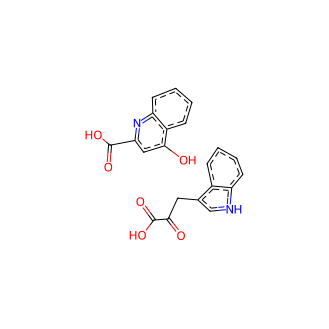 O=C(O)C(=O)Cc1c[nH]c2ccccc12.O=C(O)c1cc(O)c2ccccc2n1